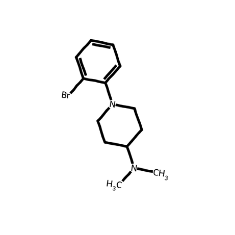 CN(C)C1CCN(c2ccccc2Br)CC1